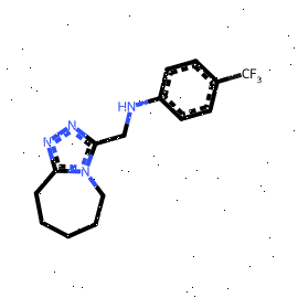 FC(F)(F)c1ccc(NCc2nnc3n2CCCCC3)cc1